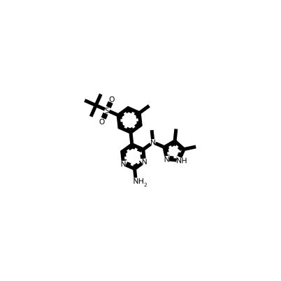 Cc1cc(-c2cnc(N)nc2N(C)c2n[nH]c(C)c2C)cc(S(=O)(=O)C(C)(C)C)c1